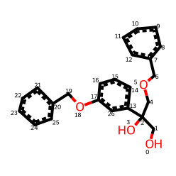 OCC(O)(COCc1ccccc1)c1cccc(OCc2ccccc2)c1